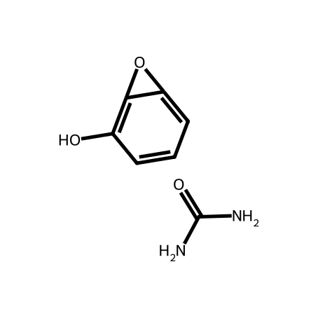 NC(N)=O.Oc1cccc2c1O2